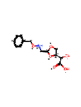 O=C(O)C(O)[C@@H]1COC(CNOCc2ccccc2)O1